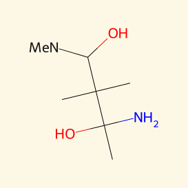 CNC(O)C(C)(C)C(C)(N)O